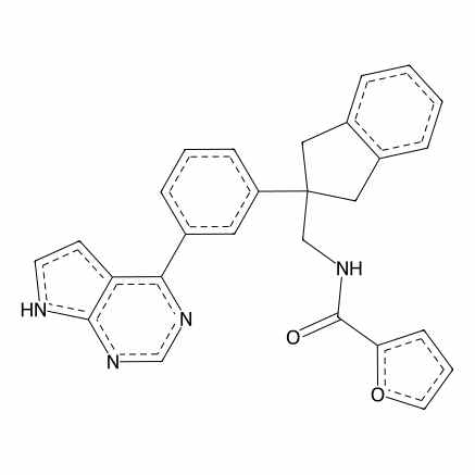 O=C(NCC1(c2cccc(-c3ncnc4[nH]ccc34)c2)Cc2ccccc2C1)c1ccco1